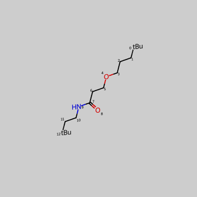 CC(C)(C)CCCOCCC(=O)NCCC(C)(C)C